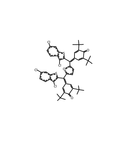 CC(C)(C)C1=CC(=C(c2ccc(C(=C3C=C(C(C)(C)C)C(=O)C(C(C)(C)C)=C3)c3sc4cc(Cl)ccc4c3Cl)o2)c2sc3cc(Cl)ccc3c2Cl)C=C(C(C)(C)C)C1=O